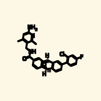 Cc1cc(N)nc(C)c1CNC(=O)c1ccc2c(c1)[C@@H]1O[C@H]2c2ccc(-c3ccc(F)cc3Cl)cc21